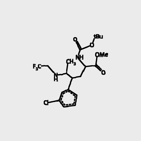 COC(=O)C(CC(c1cccc(Cl)c1)C(C)NCC(F)(F)F)NC(=O)OC(C)(C)C